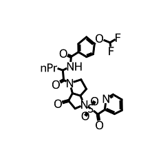 CCCC(NC(=O)c1ccc(OC(F)F)cc1)C(=O)N1CCC2C1C(=O)CN2S(=O)(=O)C(=O)c1ccccn1